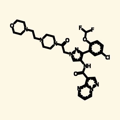 O=C(Nc1cn(CC(=O)N2CCN(CCN3CCOCC3)CC2)nc1-c1cc(Cl)ccc1OC(F)F)c1cnn2cccnc12